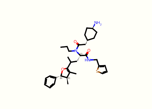 CCCN(C(=O)C[C@H]1CC[C@H](N)CC1)[C@@H](CC(C)C1=C(C)[C@@H](C)[C@H](c2ccccc2)O1)C(=O)NCc1cccs1